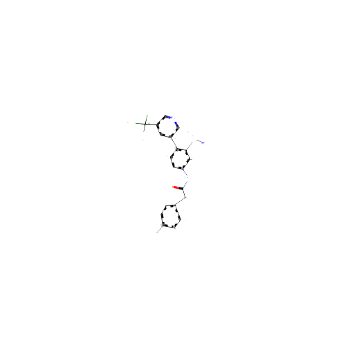 N[S+]([O-])c1cc(NC(=O)Cc2ccc(Cl)cc2)ccc1-c1cncc(C(F)(F)F)c1